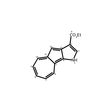 CCOC(=O)c1c[nH]c2c3cccccc-3cc12